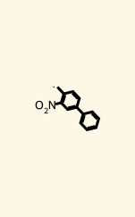 [CH2]c1ccc(-c2ccccc2)cc1[N+](=O)[O-]